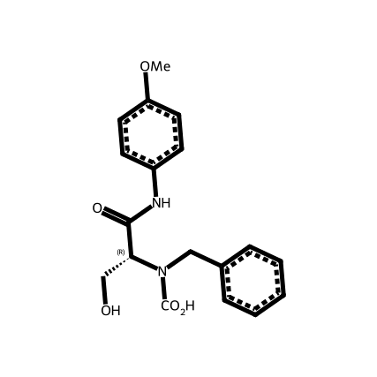 COc1ccc(NC(=O)[C@@H](CO)N(Cc2ccccc2)C(=O)O)cc1